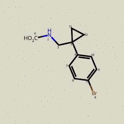 O=C(O)NCC1(c2ccc(Br)cc2)CC1